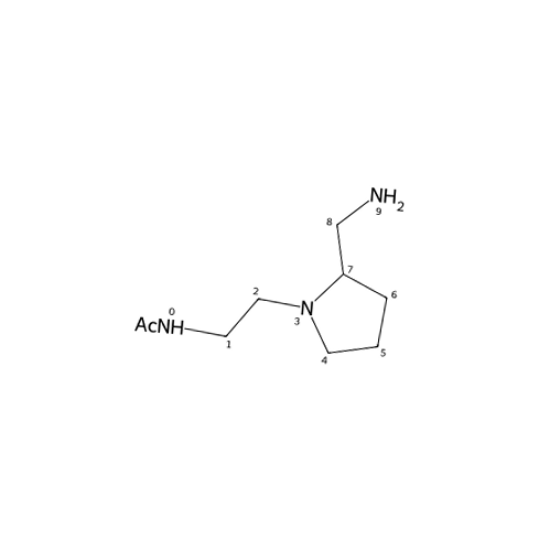 CC(=O)NCCN1CCCC1CN